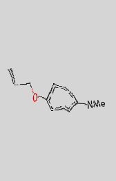 C=CCOc1ccc(NC)cc1